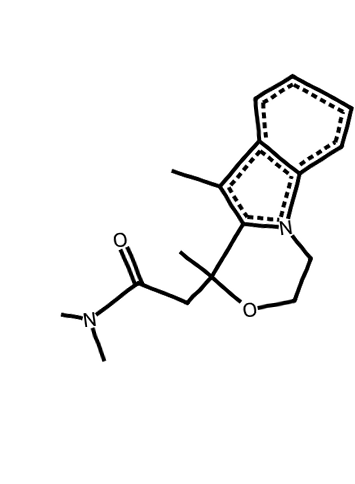 Cc1c2n(c3ccccc13)CCOC2(C)CC(=O)N(C)C